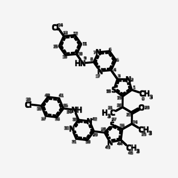 Cc1nc(-c2ccnc(Nc3ccc(Cl)cc3)n2)sc1C(C)C(=O)C(C)c1sc(-c2ccnc(Nc3ccc(Cl)cc3)n2)nc1C